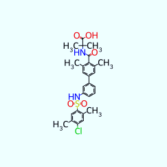 Cc1cc(S(=O)(=O)Nc2cccc(-c3cc(C)c(C(=O)NC(C)(C)C(=O)O)c(C)c3)c2)c(C)cc1Cl